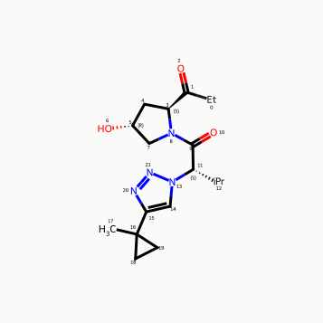 CCC(=O)[C@@H]1C[C@@H](O)CN1C(=O)[C@H](C(C)C)n1cc(C2(C)CC2)nn1